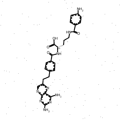 Nc1ccc(C(=O)NCCC[C@H](NC(=O)c2ccc(CCc3cnc4nc(N)nc(N)c4n3)cc2)C(=O)O)cc1